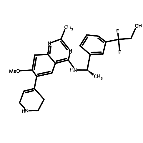 COc1cc2nc(C)nc(N[C@H](C)c3cccc(C(F)(F)CO)c3)c2cc1C1=CCNCC1